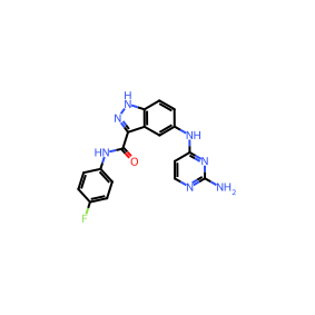 Nc1nccc(Nc2ccc3[nH]nc(C(=O)Nc4ccc(F)cc4)c3c2)n1